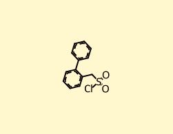 O=S(=O)(Cl)Cc1ccccc1-c1ccccc1